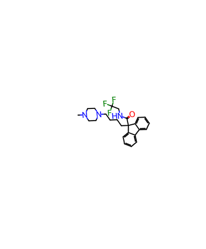 CN1CCN(CCCCC2(C(=O)NCC(F)(F)F)c3ccccc3-c3ccccc32)CC1